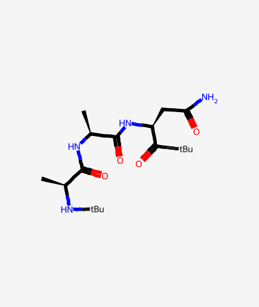 C[C@H](NC(=O)[C@H](C)NC(C)(C)C)C(=O)N[C@@H](CC(N)=O)C(=O)C(C)(C)C